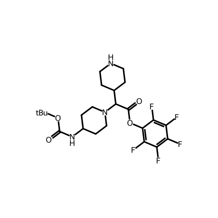 CC(C)(C)OC(=O)NC1CCN(C(C(=O)Oc2c(F)c(F)c(F)c(F)c2F)C2CCNCC2)CC1